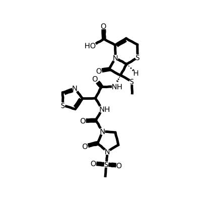 CS[C@@]1(NC(=O)C(NC(=O)N2CCN(S(C)(=O)=O)C2=O)c2cscn2)C(=O)N2C(C(=O)O)=CCS[C@H]21